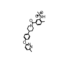 Cc1ccc(Oc2ccc(C3CCN(C(=O)c4ccc(C)c(NS(C)(=O)=O)c4)CC3)cc2)nn1